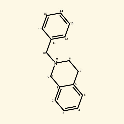 [C]1c2ccccc2CCN1Cc1ccccc1